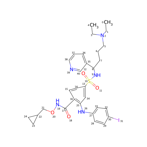 CCN(CC)CCCC(NS(=O)(=O)c1ccc(C(=O)NOCC2CC2)c(Nc2ccc(I)cc2)c1)c1cccnc1